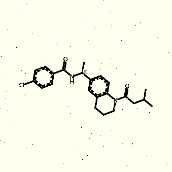 CC(C)CC(=O)N1CCCc2cc([C@H](C)NC(=O)c3ccc(Cl)cc3)ccc21